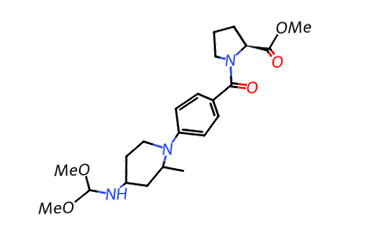 COC(=O)[C@@H]1CCCN1C(=O)c1ccc(N2CCC(NC(OC)OC)CC2C)cc1